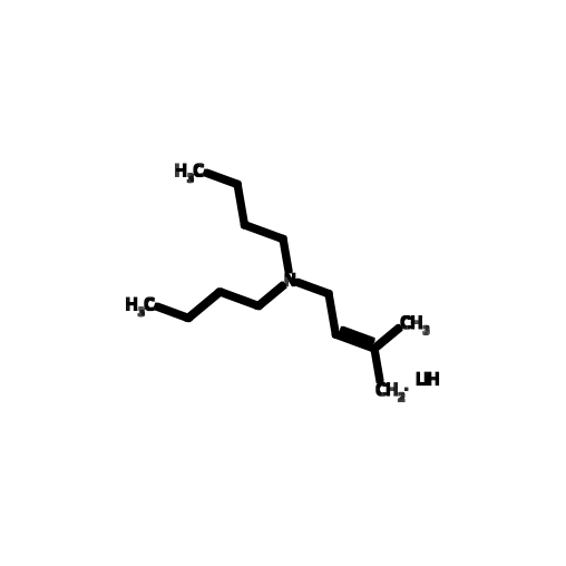 [CH2]C(C)=CCN(CCCC)CCCC.[LiH]